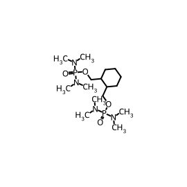 CN(C)P(=O)(OCC1CCCCC1COP(=O)(N(C)C)N(C)C)N(C)C